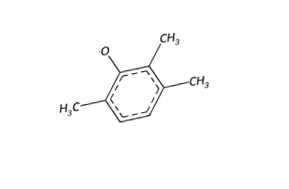 Cc1ccc(C)c([O])c1C